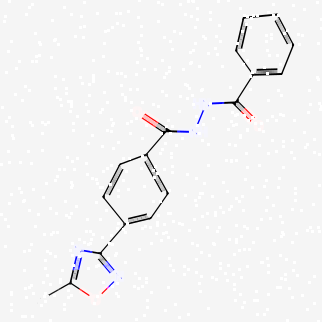 O=C(NNC(=O)c1ccc(-c2noc(C(F)(F)F)n2)cc1)c1ccccc1